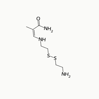 CC(=CNCCSSCCN)C(N)=O